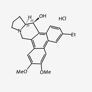 CCc1ccc2c3c(c4cc(OC)c(OC)cc4c2c1)CN1CCC[C@H]1[C@H]3O.Cl